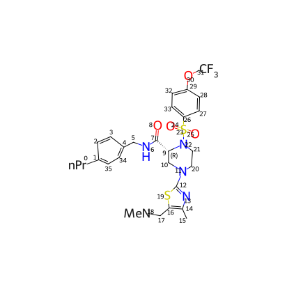 CCCc1ccc(CNC(=O)[C@H]2CN(c3nc(C)c(CNC)s3)CCN2S(=O)(=O)c2ccc(OC(F)(F)F)cc2)cc1